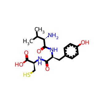 CC(C)[C@H](N)C(=O)N[C@@H](Cc1ccc(O)cc1)C(=O)N[C@@H](CS)C(=O)O